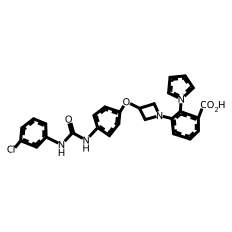 O=C(Nc1ccc(OC2CN(c3cccc(C(=O)O)c3-n3cccc3)C2)cc1)Nc1cccc(Cl)c1